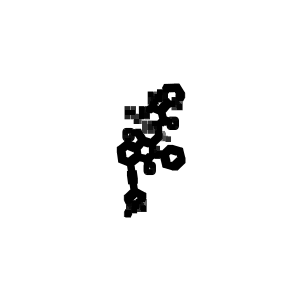 C[C@@H](NC(=O)c1c(N)nn2cccnc12)c1c2c3c(ccc(C#Cc4cnn(C)c4)c3c(=O)n1-c1ccccc1)OC2